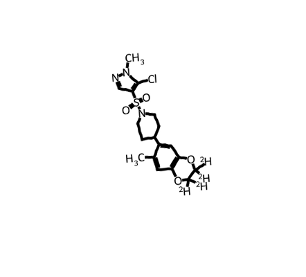 [2H]C1([2H])Oc2cc(C)c(C3CCN(S(=O)(=O)c4cnn(C)c4Cl)CC3)cc2OC1([2H])[2H]